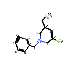 N#CCC1C=C(F)CN(Cc2ccccc2)C1